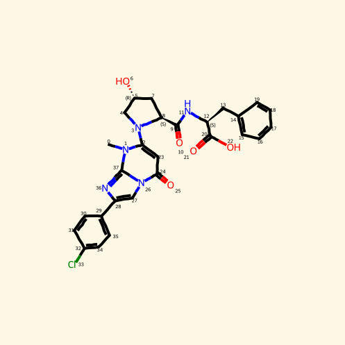 Cn1c(N2C[C@H](O)C[C@H]2C(=O)N[C@@H](Cc2ccccc2)C(=O)O)cc(=O)n2cc(-c3ccc(Cl)cc3)nc12